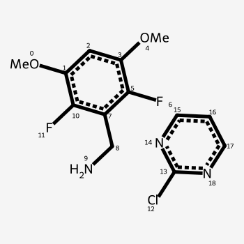 COc1cc(OC)c(F)c(CN)c1F.Clc1ncccn1